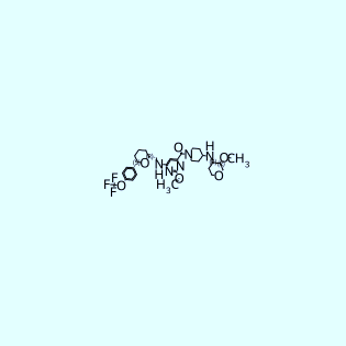 COc1nc(NC[C@H]2CCC[C@@H](c3ccc(OC(F)(F)F)cc3)O2)cc(C(=O)N2CCC(N[C@@H]3CCOC[C@@H]3OC)CC2)n1